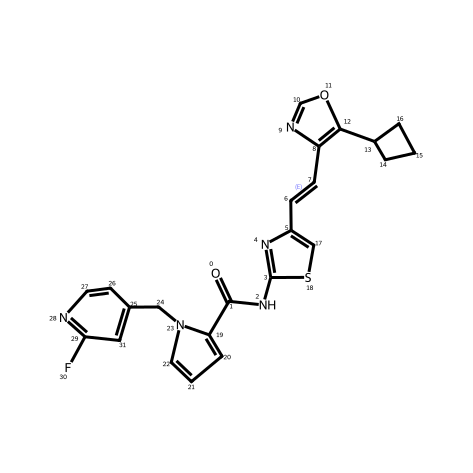 O=C(Nc1nc(/C=C/c2ncoc2C2CCC2)cs1)c1cccn1Cc1ccnc(F)c1